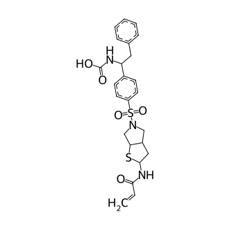 C=CC(=O)NC1CC2CN(S(=O)(=O)c3ccc(C(Cc4ccccc4)NC(=O)O)cc3)CC2S1